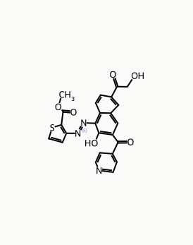 COC(=O)c1sccc1/N=N/c1c(O)c(C(=O)c2ccncc2)cc2cc(C(=O)CO)ccc12